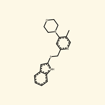 Cc1cnc(CSc2cc3ccccc3[nH]2)cc1N1CCOCC1